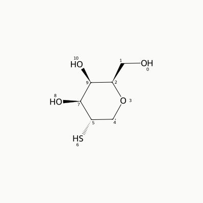 OC[C@H]1O[CH][C@H](S)[C@@H](O)[C@H]1O